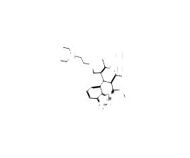 CCN(CC)CCOC(=O)C1=C(C=O)NC(C)=C(C(=O)OC)C1c1cccc2nonc12.Cl